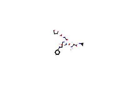 CCC[C@H](NC(=O)[C@@H]1C[C@]2(CC(c3ccc(F)cc3)=NO2)CN1C(=O)[C@@H](NC(=O)O[C@H]1CCOC1)C(C)(C)C)C(=O)C(=O)NC1CC1